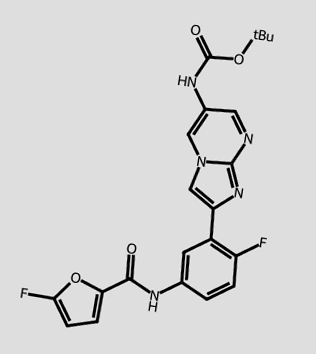 CC(C)(C)OC(=O)Nc1cnc2nc(-c3cc(NC(=O)c4ccc(F)o4)ccc3F)cn2c1